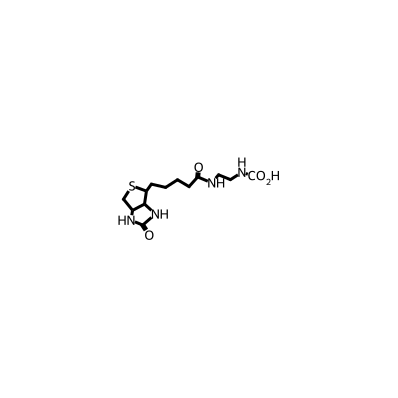 O=C(O)NCCNC(=O)CCCCC1SCC2NC(=O)NC21